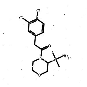 CC(C)(N)C1COCCN1C(=O)Cc1ccc(Cl)c(Cl)c1